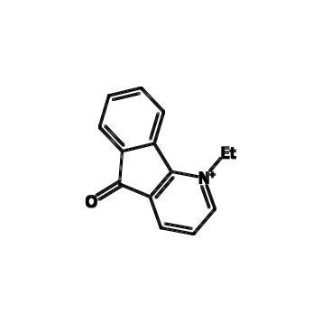 CC[n+]1cccc2c1-c1ccccc1C2=O